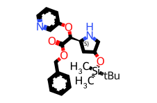 CC(C)(C)[Si](C)(C)OC1CN[C@H](C(Oc2cccnc2)C(=O)OCc2ccccc2)C1